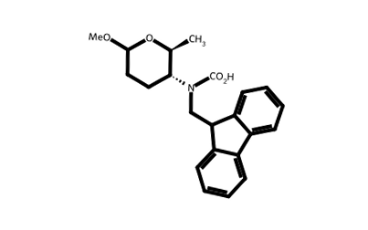 COC1CC[C@@H](N(CC2c3ccccc3-c3ccccc32)C(=O)O)[C@H](C)O1